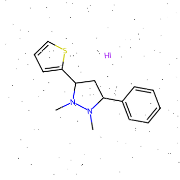 CN1C(c2ccccc2)CC(c2cccs2)N1C.I